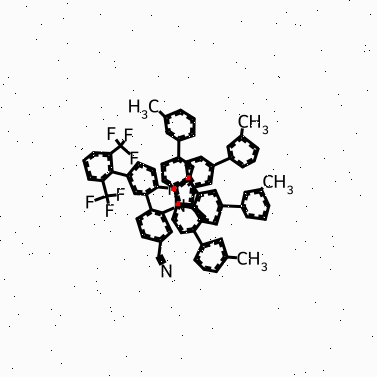 Cc1cccc(-c2ccc3c(c2)c2cc(-c4cccc(C)c4)ccc2n3-c2ccc(-c3c(C(F)(F)F)cccc3C(F)(F)F)cc2-c2ccc(C#N)cc2-n2c3ccc(-c4cccc(C)c4)cc3c3cc(-c4cccc(C)c4)ccc32)c1